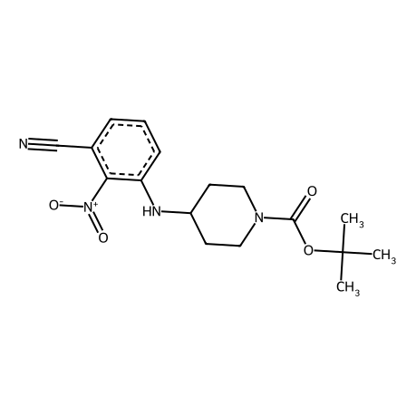 CC(C)(C)OC(=O)N1CCC(Nc2cccc(C#N)c2[N+](=O)[O-])CC1